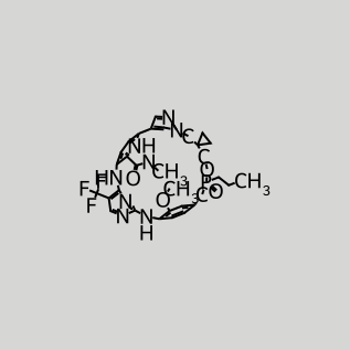 CCCP1(=O)Cc2ccc(c(OC)c2)Nc2ncc(C(F)(F)F)c(n2)Nc2ccc(nc2C(=O)NC)-c2cnn(c2)CC2(CC2)CO1